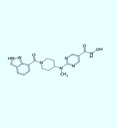 CN(c1ncc(C(=O)NO)cn1)C1CCN(C(=O)c2cccc3c[nH]nc23)CC1